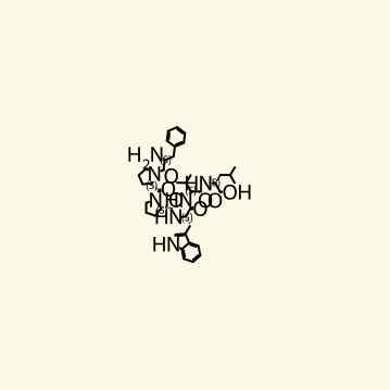 CC(C)C[C@H](NC(=O)[C@@H](NC(=O)[C@H](Cc1c[nH]c2ccccc12)NC(=O)[C@@H]1CCCN1C(=O)[C@@H]1CCCN1C(=O)[C@@H](N)Cc1ccccc1)C(C)C)C(=O)O